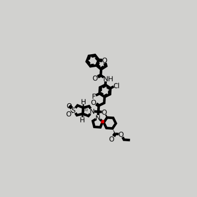 CCOC(=O)[C@H]1CC[C@H](OC(C(=O)Cc2cc(Cl)c(NC(=O)c3coc4ccccc34)cc2F)(N2CCCC2)N2C[C@@H]3CS(=O)(=O)C[C@@H]3C2)CC1